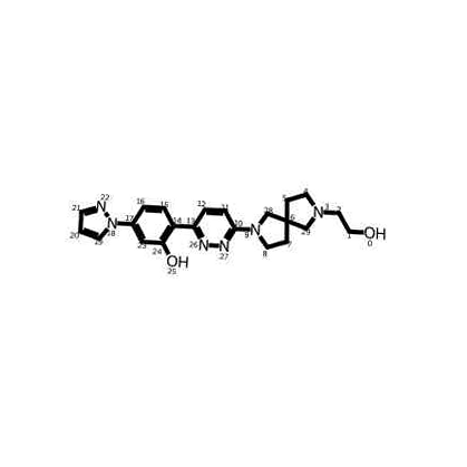 OCCN1CCC2(CCN(c3ccc(-c4ccc(-n5cccn5)cc4O)nn3)C2)C1